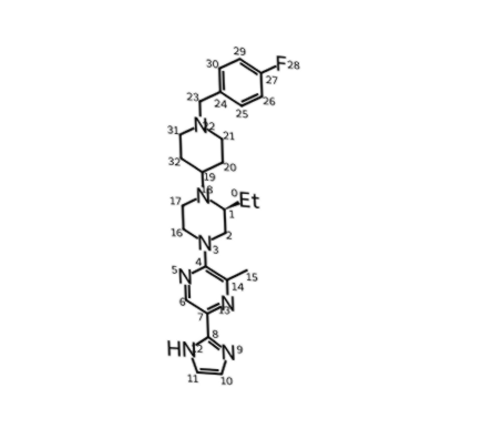 CC[C@H]1CN(c2ncc(-c3ncc[nH]3)nc2C)CCN1C1CCN(Cc2ccc(F)cc2)CC1